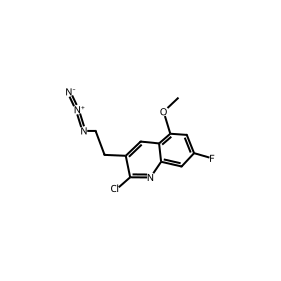 COc1cc(F)cc2nc(Cl)c(CCN=[N+]=[N-])cc12